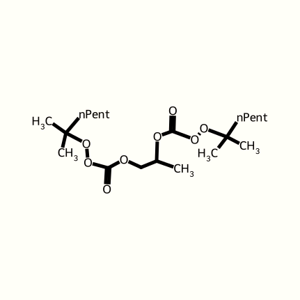 CCCCCC(C)(C)OOC(=O)OCC(C)OC(=O)OOC(C)(C)CCCCC